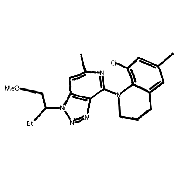 CCC(COC)n1nnc2c(N3CCCc4cc(C)cc(Cl)c43)nc(C)cc21